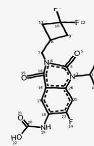 CC(C)n1c(=O)n(CC2CC(F)(F)C2)c(=O)c2cc(NC(=O)O)c(F)cc21